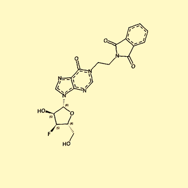 O=C1c2ccccc2C(=O)N1CCn1cnc2c(ncn2[C@@H]2O[C@H](CO)[C@@H](F)[C@H]2O)c1=O